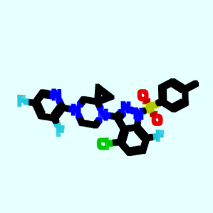 Cc1ccc(S(=O)(=O)n2nc(N3CCN(c4ncc(F)cc4F)CC34CC4)c3c(Cl)ccc(F)c32)cc1